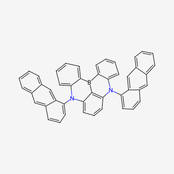 c1ccc2c(c1)B1c3ccccc3N(c3cccc4cc5ccccc5cc34)c3cccc(c31)N2c1cccc2cc3ccccc3cc12